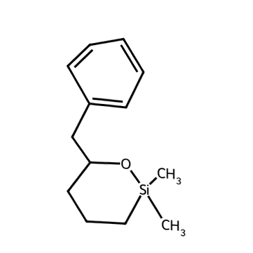 C[Si]1(C)CCCC(Cc2ccccc2)O1